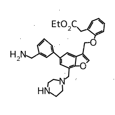 CCOC(=O)Cc1ccccc1OCc1coc2c(CN3CCNCC3)cc(-c3cccc(CN)c3)cc12